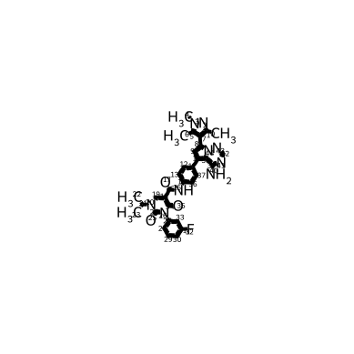 Cc1nn(C)c(C)c1-c1cc(-c2ccc(NC(=O)c3cn(C(C)C)c(=O)n(-c4cccc(F)c4)c3=O)cc2)c2c(N)ncnn12